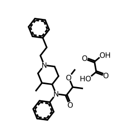 COC(C)C(=O)N(c1ccccc1)C1CCN(CCc2ccccc2)CC1C.O=C(O)C(=O)O